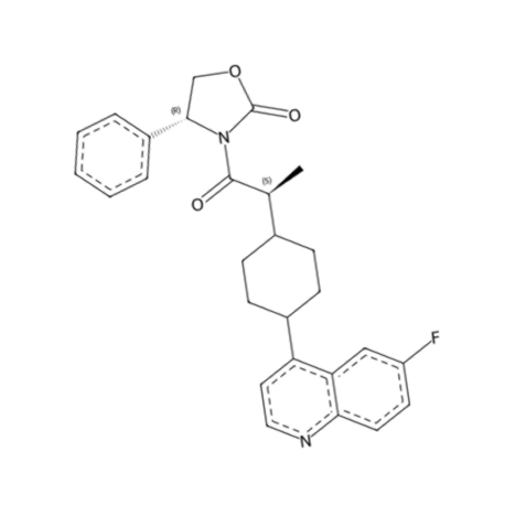 C[C@H](C(=O)N1C(=O)OC[C@H]1c1ccccc1)C1CCC(c2ccnc3ccc(F)cc23)CC1